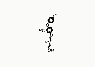 Cl.OCCNCCOc1ccc(Oc2ccc(Cl)cc2)cc1